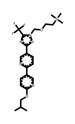 CC(C)COc1ccc(-c2ccc(-c3nc(C(F)(F)F)n(COCC[Si](C)(C)C)n3)cn2)cn1